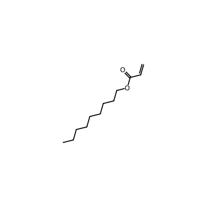 C=CC(=O)OCCCCCCCCC